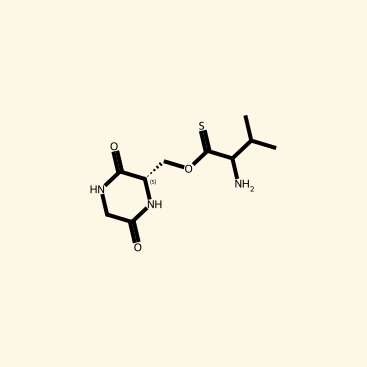 CC(C)C(N)C(=S)OC[C@@H]1NC(=O)CNC1=O